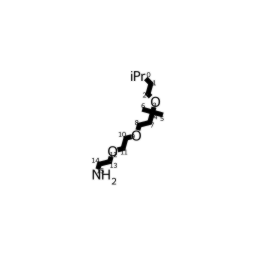 CC(C)CCOC(C)(C)CCOCCOCCN